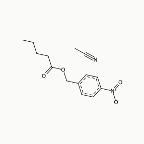 CC#N.CCCCC(=O)OCc1ccc([N+](=O)[O-])cc1